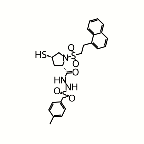 Cc1ccc(S(=O)(=O)NNC(=O)[C@@H]2C[C@@H](S)CN2S(=O)(=O)CCc2cccc3ccccc23)cc1